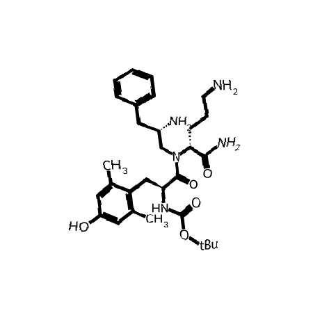 Cc1cc(O)cc(C)c1C[C@H](NC(=O)OC(C)(C)C)C(=O)N(C[C@@H](N)Cc1ccccc1)[C@H](CCCN)C(N)=O